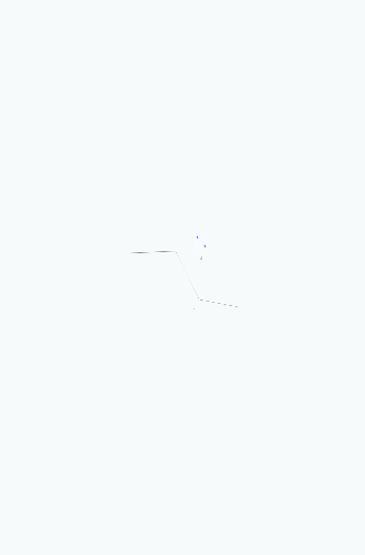 CCCC.[N]